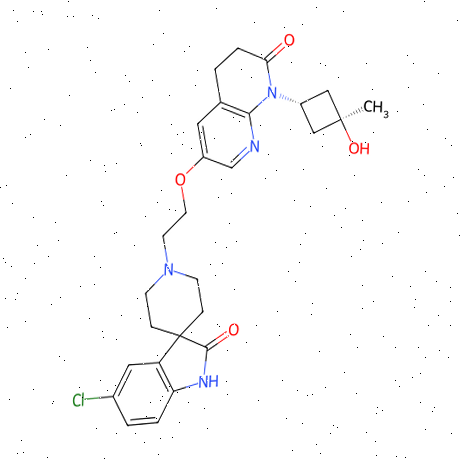 C[C@]1(O)C[C@H](N2C(=O)CCc3cc(OCCN4CCC5(CC4)C(=O)Nc4ccc(Cl)cc45)cnc32)C1